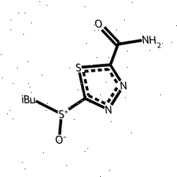 CCC(C)[S+]([O-])c1nnc(C(N)=O)s1